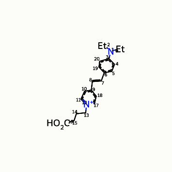 CCN(CC)c1ccc(C=Cc2cc[n+](CCCC(=O)O)cc2)cc1